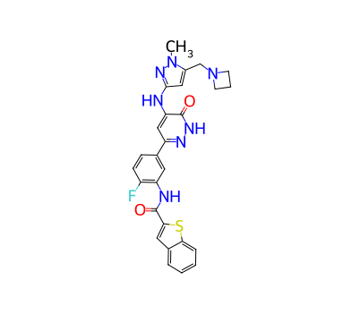 Cn1nc(Nc2cc(-c3ccc(F)c(NC(=O)c4cc5ccccc5s4)c3)n[nH]c2=O)cc1CN1CCC1